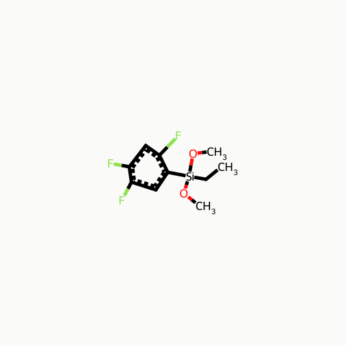 CC[Si](OC)(OC)c1cc(F)c(F)cc1F